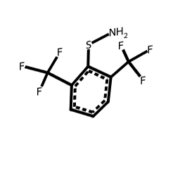 NSc1c(C(F)(F)F)cccc1C(F)(F)F